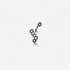 Nc1ccc2c(c1)CCc1nc(NC(=O)CCCc3ccccc3)c(CC3CCCCC3)nc1-2